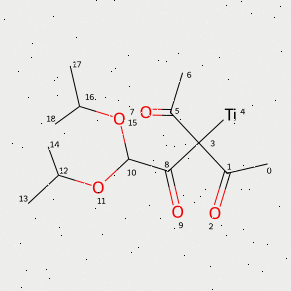 CC(=O)[C]([Ti])(C(C)=O)C(=O)C(OC(C)C)OC(C)C